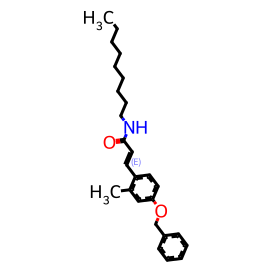 CCCCCCCCCNC(=O)/C=C/c1ccc(OCc2ccccc2)cc1C